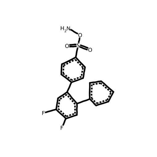 NOS(=O)(=O)c1ccc(-c2cc(F)c(F)cc2-c2ccccc2)cc1